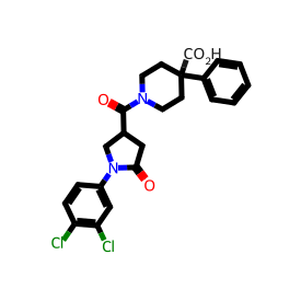 O=C(C1CC(=O)N(c2ccc(Cl)c(Cl)c2)C1)N1CCC(C(=O)O)(c2ccccc2)CC1